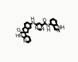 O=C(Nc1cccc2[nH]ncc12)c1cc(Nc2ccc3c(c2)CC2(C3)C(=O)Nc3ncccc32)ncn1